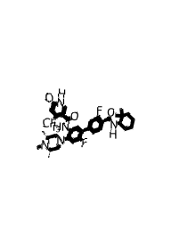 C[C@@H]1CN(c2cc(F)c(-c3ccc(C(=O)NC4CCCCC4(C)C)c(F)c3)cc2NC(=O)c2c[nH]c(=O)cc2C(F)(F)F)C[C@H](C)N1C